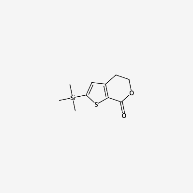 C[Si](C)(C)c1cc2c(s1)C(=O)OCC2